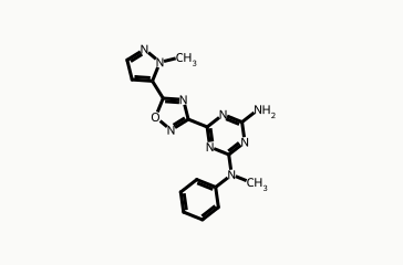 CN(c1ccccc1)c1nc(N)nc(-c2noc(-c3ccnn3C)n2)n1